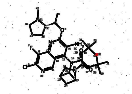 CC(Oc1nc2c(F)c(Cl)ncc2c(N(C(=O)OC(C)(C)C)C2C3CC2N(C(=O)OC(C)(C)C)C3)c1N)[C@@H]1CCCN1C